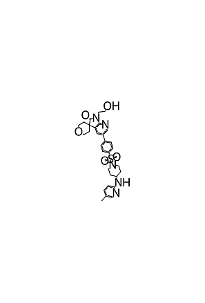 Cc1ccc(NC2CCN(S(=O)(=O)c3ccc(-c4cnc5c(c4)C4(CCOCC4)C(=O)N5CCO)cc3)CC2)nc1